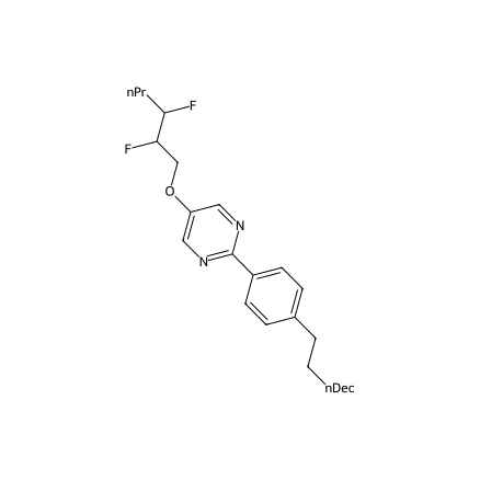 CCCCCCCCCCCCc1ccc(-c2ncc(OCC(F)C(F)CCC)cn2)cc1